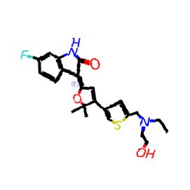 CCN(CCO)Cc1cc(C2=C/C(=C3\C(=O)Nc4cc(F)ccc43)OC2(C)C)cs1